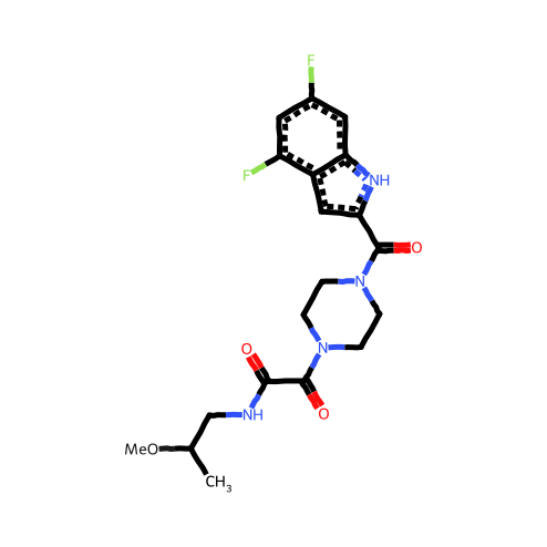 COC(C)CNC(=O)C(=O)N1CCN(C(=O)c2cc3c(F)cc(F)cc3[nH]2)CC1